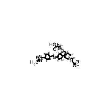 Cc1nc(-c2ccc(COc3ccc4c(c3)OCC43CCN(CCC(=O)O)CC3)cc2)no1.O=C(O)C(F)(F)F